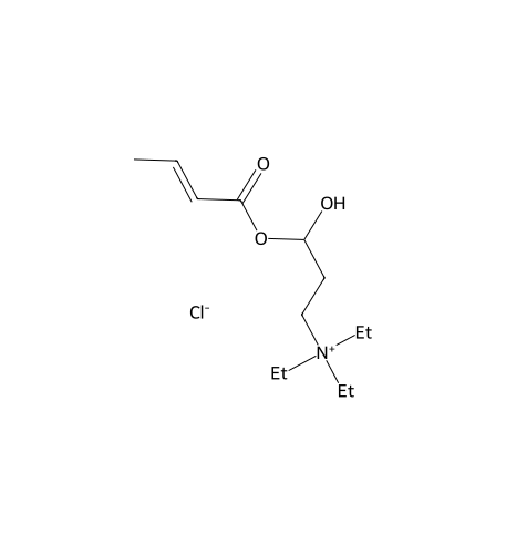 CC=CC(=O)OC(O)CC[N+](CC)(CC)CC.[Cl-]